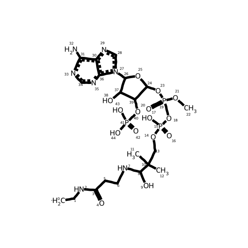 [CH2]CNC(=O)CCNC(O)C(C)(C)COP(=O)(O)OP(=O)(OC)OC1OC(n2cnc3c(N)ncnc32)C(O)C1OP(=O)(O)O